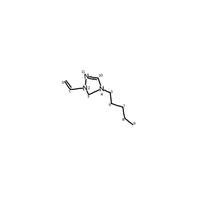 C=CN1CN(CCCCC)C=N1